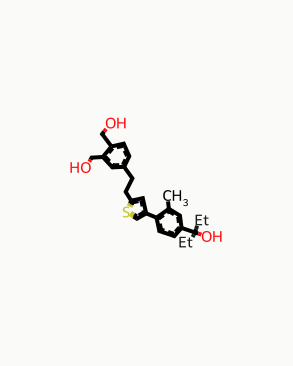 CCC(O)(CC)c1ccc(-c2csc(CCc3ccc(CO)c(CO)c3)c2)c(C)c1